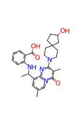 Cc1cc(C(C)Nc2ccccc2C(=O)O)c2nc(N3CCC4(CCC(O)C4)CC3)c(C)c(=O)n2c1